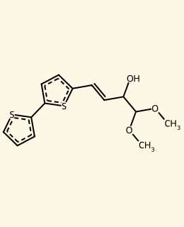 COC(OC)C(O)/C=C/c1ccc(-c2cccs2)s1